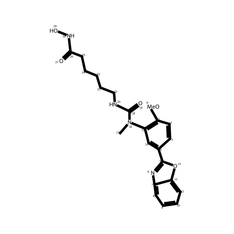 COc1ccc(-c2nc3ccccc3o2)cc1N(C)C(=O)NCCCCCC(=O)NO